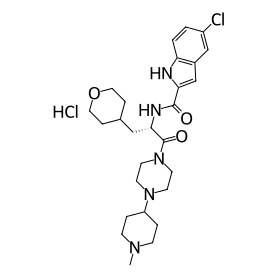 CN1CCC(N2CCN(C(=O)[C@H](CC3CCOCC3)NC(=O)c3cc4cc(Cl)ccc4[nH]3)CC2)CC1.Cl